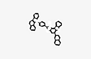 c1ccc2cc(-c3cc4c(c5c3sc3ccccc35)NC(c3ccc(-n5c6ccccc6c6ccc7ccccc7c65)cc3)O4)ccc2c1